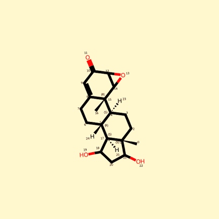 C[C@]12CC[C@H]3[C@@H](CCC4=CC(=O)C5OC5[C@@]43C)[C@@H]1C(O)CC2O